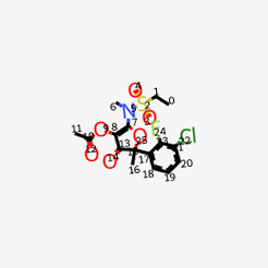 CCS(=O)(=O)N(C)C1=C(OC(C)=O)C(=O)C(C)(c2cccc(Cl)c2F)O1